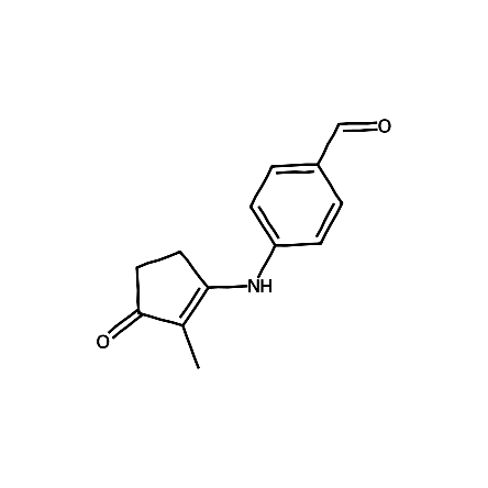 CC1=C(Nc2ccc(C=O)cc2)CCC1=O